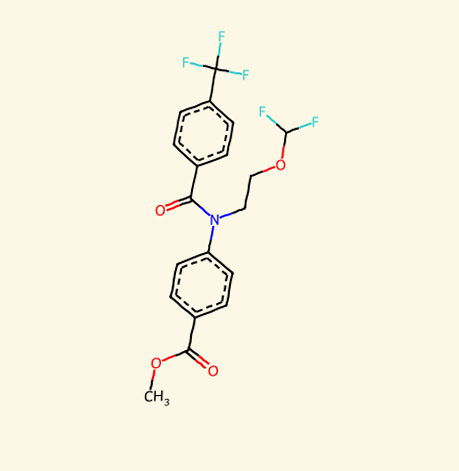 COC(=O)c1ccc(N(CCOC(F)F)C(=O)c2ccc(C(F)(F)F)cc2)cc1